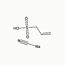 C=CCS(=O)(=O)O.N#[C][Na]